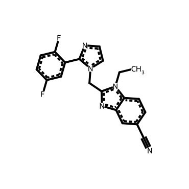 CCn1c(Cn2ccnc2-c2cc(F)ccc2F)nc2cc(C#N)ccc21